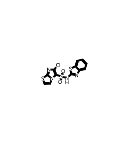 O=S(=O)(Nc1nc2ccccc2s1)c1c(Cl)nc2sccn12